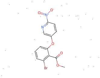 COC(=O)c1c(Br)cccc1Oc1ccc([N+](=O)[O-])nc1